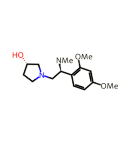 CN[C@H](CN1CC[C@H](O)C1)c1ccc(OC)cc1OC